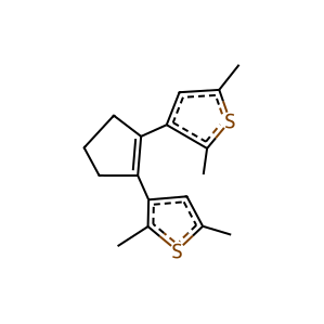 Cc1cc(C2=C(c3cc(C)sc3C)CCC2)c(C)s1